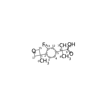 CC1(c2ccc(C(C)(C)C(=O)O)cc2F)COC1